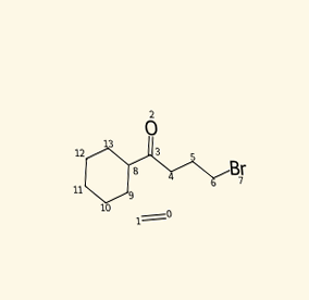 C=C.O=C(CCCBr)C1CCCCC1